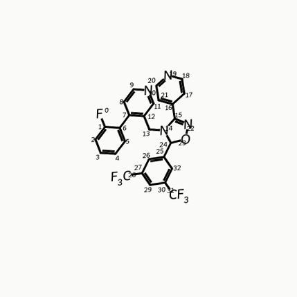 Fc1ccccc1-c1ccncc1CN1C(c2ccncc2)=NOC1c1cc(C(F)(F)F)cc(C(F)(F)F)c1